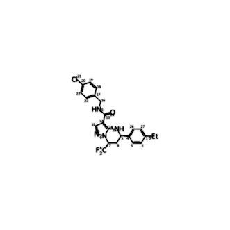 CCc1ccc([C@H]2C[C@@H](C(F)(F)F)n3ncc(C(=O)NCc4ccc(Cl)cc4)c3N2)cc1